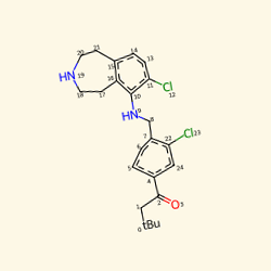 CC(C)(C)CC(=O)c1ccc(CNc2c(Cl)ccc3c2CCNCC3)c(Cl)c1